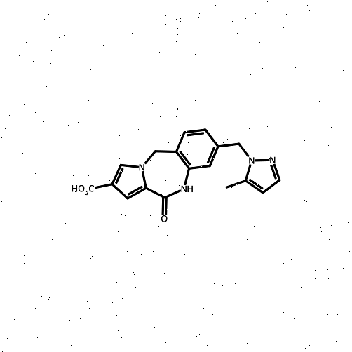 Cc1ccnn1Cc1ccc2c(c1)NC(=O)c1cc(C(=O)O)cn1C2